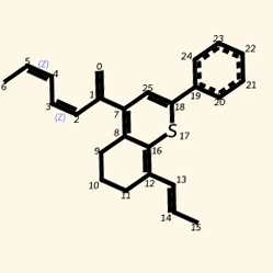 C=C(/C=C\C=C/C)C1=C2CCCC(C=CC)=C2SC(c2ccccc2)=C1